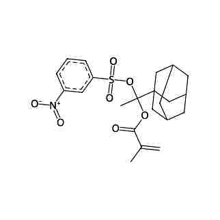 C=C(C)C(=O)OC(C)(OS(=O)(=O)c1cccc([N+](=O)[O-])c1)C12CC3CC(CC(C3)C1)C2